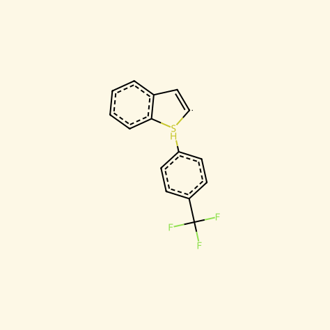 FC(F)(F)c1ccc([SH]2[C]=Cc3ccccc32)cc1